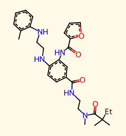 CCC(C)(C)C(=O)N(C)CCNC(=O)c1ccc(NCCNc2ccccc2C)c(NC(=O)c2ccco2)c1